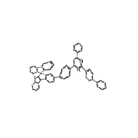 c1ccc(-c2ccc(-c3nc(-c4ccccc4)cc(-c4ccc(-c5ccc6c(c5)C5(c7ccccc7-c7ccccc75)c5sc7ccccc7c5-6)cc4)n3)cc2)cc1